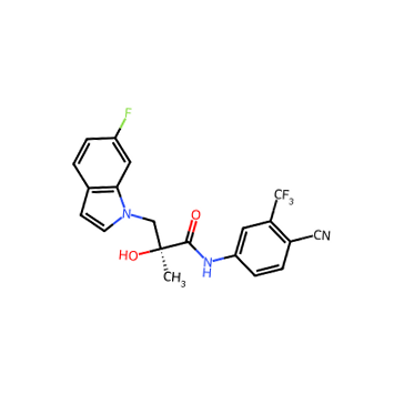 C[C@](O)(Cn1ccc2ccc(F)cc21)C(=O)Nc1ccc(C#N)c(C(F)(F)F)c1